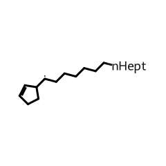 CCCCCCCCCCCCC[CH]C1C=CCC1